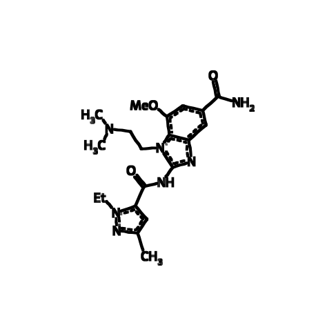 CCn1nc(C)cc1C(=O)Nc1nc2cc(C(N)=O)cc(OC)c2n1CCN(C)C